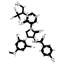 COc1cc(F)c([C@@H]2CN(c3cncn(C(CO)C(F)(F)F)c3=O)C(=O)[C@H]2NC(=O)c2ccc(Cl)cc2)c(F)c1